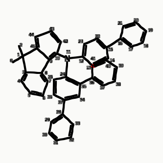 CC1(C)c2ccccc2-c2c(N(c3ccc(-c4ccccc4)cc3)c3ccc(-c4ccccc4)cc3-c3ccccc3)cccc21